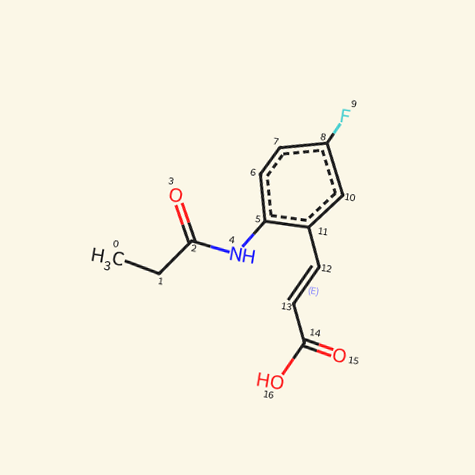 CCC(=O)Nc1ccc(F)cc1/C=C/C(=O)O